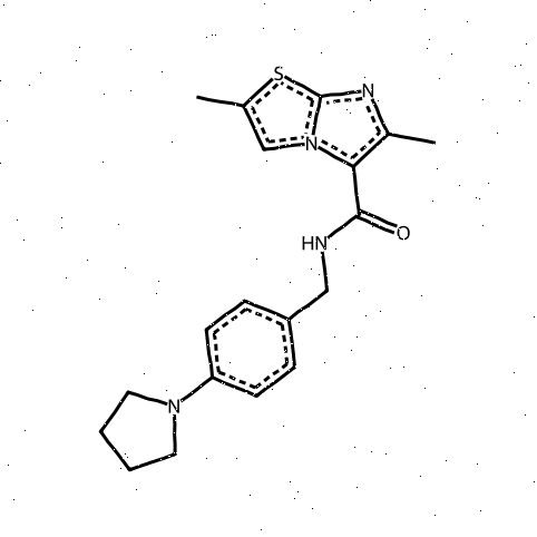 Cc1cn2c(C(=O)NCc3ccc(N4CCCC4)cc3)c(C)nc2s1